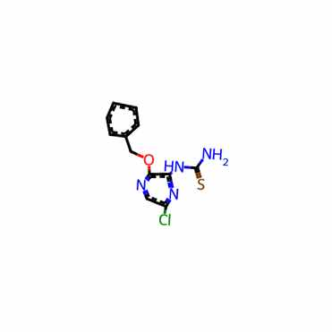 NC(=S)Nc1nc(Cl)cnc1OCc1ccccc1